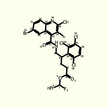 CCCC(F)OC(=O)CCC(CNC(=O)c1c(C)c(Cl)nc2ccc(Br)cc12)c1c(Cl)ccc(Cl)c1Cl